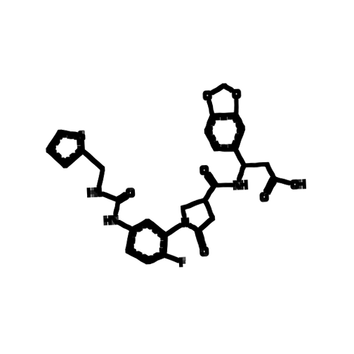 O=C(O)CC(NC(=O)C1CC(=O)N(c2cc(NC(=O)NCc3cccs3)ccc2F)C1)c1ccc2c(c1)OCO2